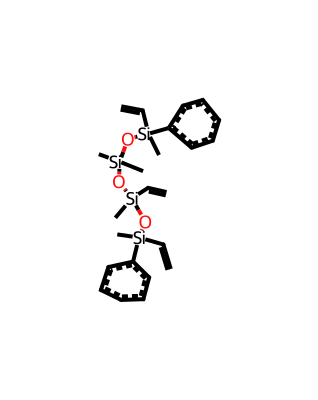 C=C[Si](C)(O[Si](C)(C)O[Si](C)(C=C)c1ccccc1)O[Si](C)(C=C)c1ccccc1